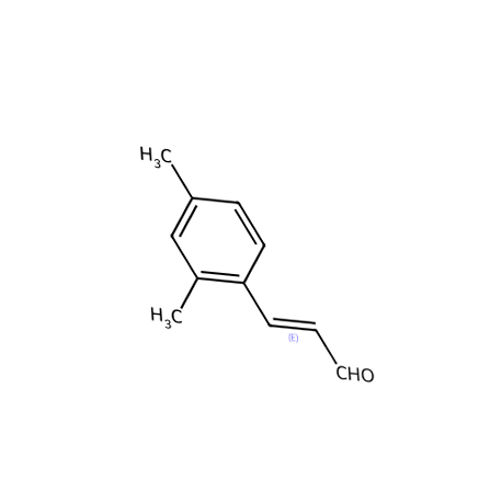 Cc1ccc(/C=C/C=O)c(C)c1